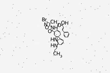 CCCNc1cccc2c3c([nH]c12)C=C(C(=O)Nc1onc(Br)c1C)C=CC3.O=C(O)C=Cc1ccccc1